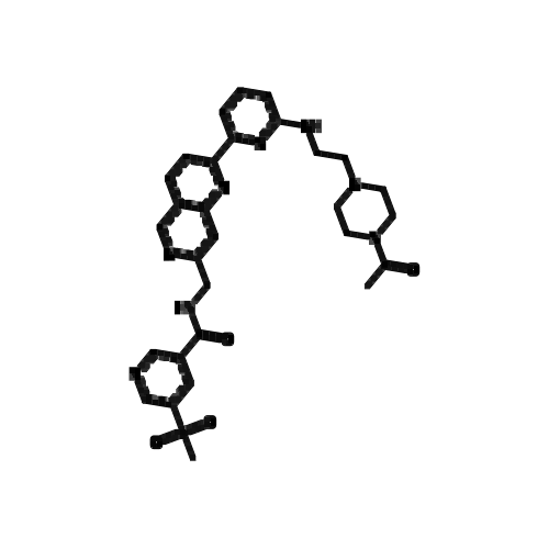 CC(=O)N1CCN(CCNc2cccc(-c3ccc4cnc(CNC(=O)c5cncc(S(C)(=O)=O)c5)cc4n3)n2)CC1